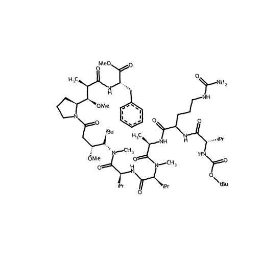 CC[C@H](C)[C@@H]([C@@H](CC(=O)N1CCC[C@H]1[C@H](OC)[C@@H](C)C(=O)N[C@@H](Cc1ccccc1)C(=O)OC)OC)N(C)C(=O)[C@@H](NC(=O)[C@H](C(C)C)N(C)C(=O)[C@@H](C)NC(=O)C(CCCNC(N)=O)NC(=O)[C@@H](NC(=O)OC(C)(C)C)C(C)C)C(C)C